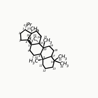 CC(C)[C@H]1CCC2=C3CCC4[C@@]5(C)CCCC(C)(C)C5CC[C@@]4(C)[C@]3(C)CC[C@@]21C